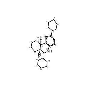 c1cc2c(cc1C1CCCCC1)[C@H]1OCCC[C@H]1[C@@H](C1CCCCC1)N2